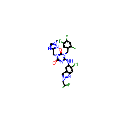 Cn1cnc(Cn2c(=O)nc(Nc3cc4cn(CC(F)F)nc4cc3Cl)n(Cc3cc(F)c(F)cc3F)c2=O)n1